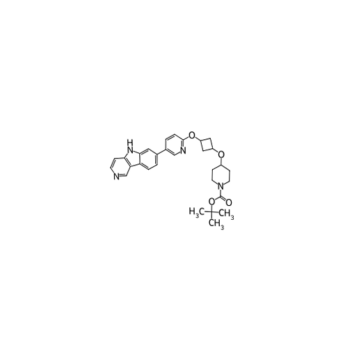 CC(C)(C)OC(=O)N1CCC(OC2CC(Oc3ccc(-c4ccc5c(c4)[nH]c4ccncc45)cn3)C2)CC1